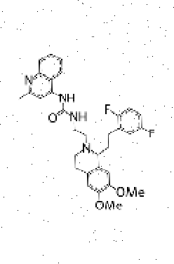 COc1cc2c(cc1OC)C(CCc1cc(F)ccc1F)N(CCNC(=O)Nc1cc(C)nc3ccccc13)CC2